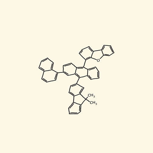 CC1(C)c2ccccc2-c2ccc(-c3c4ccccc4c(-c4cccc5c4oc4ccccc45)c4ccc(-c5cccc6ccccc56)cc34)cc21